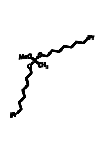 CO[Si](C)(OCCCCCCCC(C)C)OCCCCCCCC(C)C